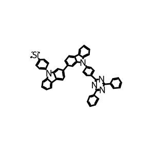 C[Si](C)(C)c1ccc(-n2c3ccccc3c3ccc(-c4ccc5c6ccccc6n(-c6ccc(-c7nc(-c8ccccc8)nc(-c8ccccc8)n7)cc6)c5c4)cc32)cc1